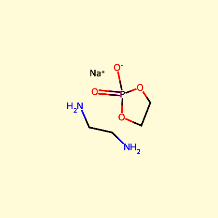 NCCN.O=P1([O-])OCCO1.[Na+]